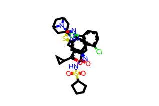 O=C(NS(=O)(=O)C1CCCC1)c1ccc2nc(N3C4CC(NCc5c(-c6c(Cl)cccc6Cl)noc5C5CC5)CC3C4)sc2c1